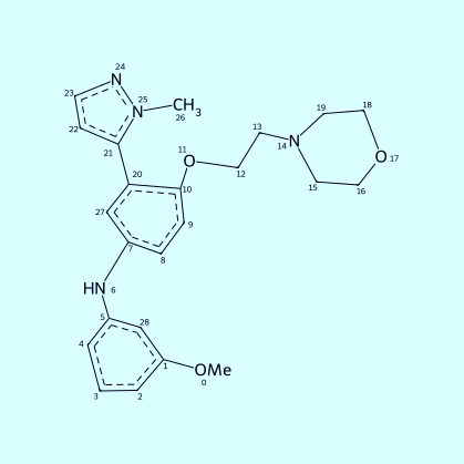 COc1cccc(Nc2ccc(OCCN3CCOCC3)c(-c3ccnn3C)c2)c1